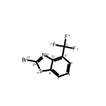 FC(F)(F)c1cccc2sc(Br)nc12